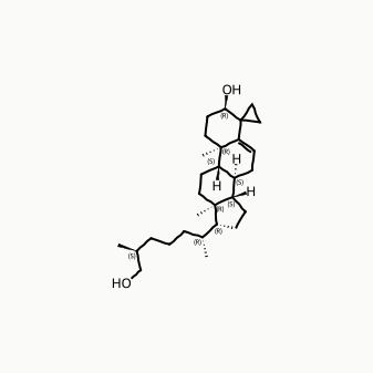 C[C@H](CO)CCC[C@@H](C)[C@H]1CC[C@H]2[C@@H]3CC=C4C5(CC5)[C@H](O)CC[C@]4(C)[C@H]3CC[C@]12C